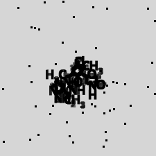 COc1c(C(C)Nc2ncnc(N)c2C(C)=N)cc(Cl)c(C)c1C1CNC(=O)CO1